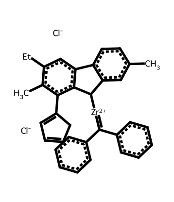 CCc1cc2c(c(C3=CC=CC3)c1C)[CH]([Zr+2]=[C](c1ccccc1)c1ccccc1)c1cc(C)ccc1-2.[Cl-].[Cl-]